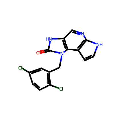 O=c1[nH]c2cnc3[nH]ccc3c2n1Cc1cc(Cl)ccc1Cl